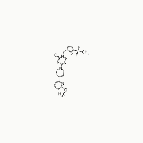 COc1cccc(C2=CCN(c3ncn(Cc4ccc(C(C)(F)F)s4)c(=O)n3)CC2)n1